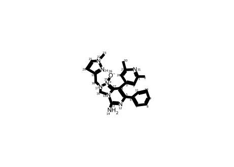 Cc1cc(C2=C(c3ccccc3)N=C(N)N3CN(Cc4ccn(C)n4)[N+]([O-])=C23)cc(C)n1